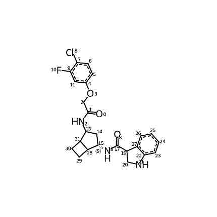 O=C(COc1ccc(Cl)c(F)c1)NC1C[C@H](NC(=O)C2CNc3ccccc32)C2CCC12